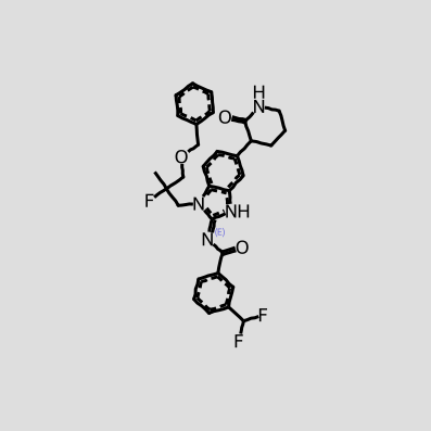 CC(F)(COCc1ccccc1)Cn1/c(=N/C(=O)c2cccc(C(F)F)c2)[nH]c2cc(C3CCCNC3=O)ccc21